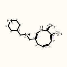 C=C1N/C=C(/CNCC2CCNCC2)C/C=C\C=C/1C